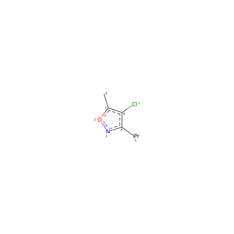 Cc1onc(C(C)C)c1Cl